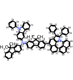 CC1(C)c2ccccc2-c2ccc(N(c3ccc4c(c3)C(C)(C)c3cc(-c5cc6c(-c7ccccc7)c(-c7ccccc7)n(-c7cccc8ccccc78)c6c6ccccc56)ccc3-4)c3ccc4c(c3)c3ccccc3n4-c3ccccc3)cc21